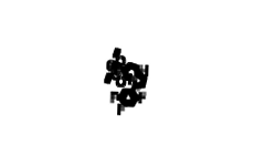 CCOP(=O)(OCC)C1CC[C@H]2CC[C@@H](c3cc(F)c(F)cc3F)N2C1=O